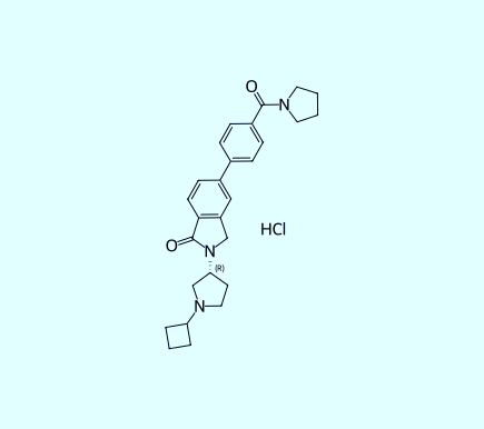 Cl.O=C(c1ccc(-c2ccc3c(c2)CN([C@@H]2CCN(C4CCC4)C2)C3=O)cc1)N1CCCC1